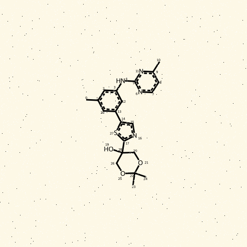 Cc1cc(Nc2nccc(C)n2)cc(-c2cnc(C3(O)COC(C)(C)OC3)s2)c1